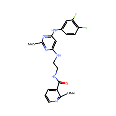 COc1ncccc1C(=O)NCCNc1cc(Nc2ccc(F)c(F)c2)nc(SC)n1